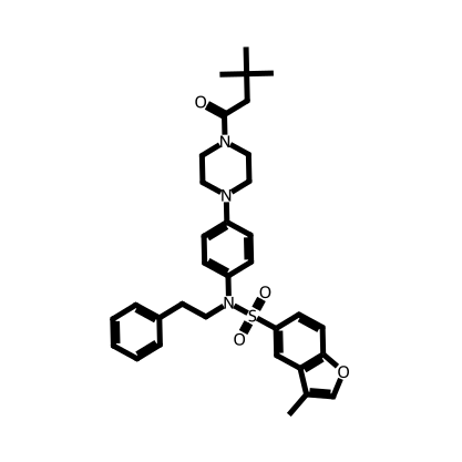 Cc1coc2ccc(S(=O)(=O)N(CCc3ccccc3)c3ccc(N4CCN(C(=O)CC(C)(C)C)CC4)cc3)cc12